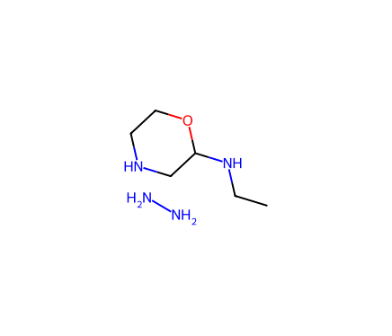 CCNC1CNCCO1.NN